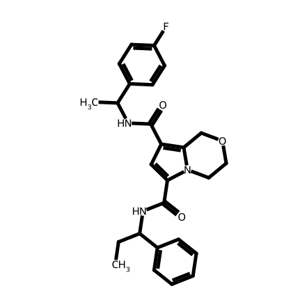 CCC(NC(=O)c1cc(C(=O)NC(C)c2ccc(F)cc2)c2n1CCOC2)c1ccccc1